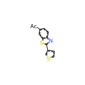 CC(=O)c1ccc2nc(-c3ccsc3)sc2c1